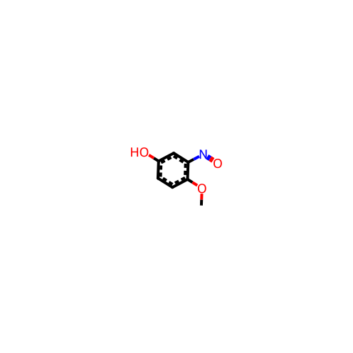 COc1ccc(O)cc1N=O